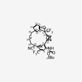 CC(C)(C)OC(=O)Nc1cc(C(F)(F)F)c2nc1-c1nnc(o1)C(O)(C(F)(F)F)c1cccc(c1)CCCCC2C#N